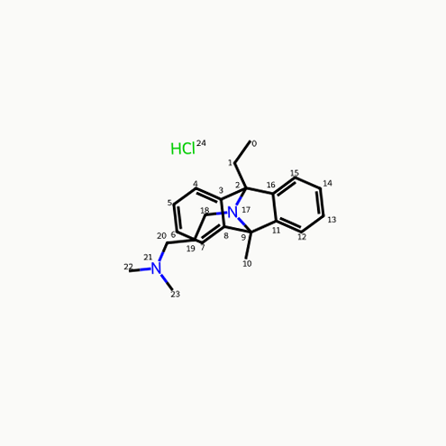 CCC12c3ccccc3C(C)(c3ccccc31)N2CCCN(C)C.Cl